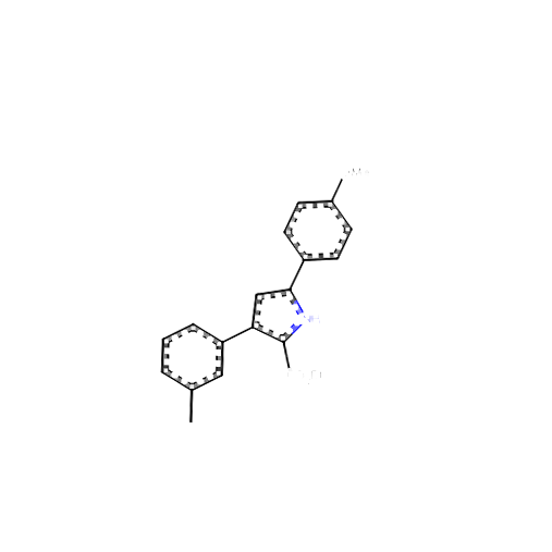 CCOC(=O)c1[nH]c(-c2ccc(OC)cc2)cc1-c1cccc(C)c1